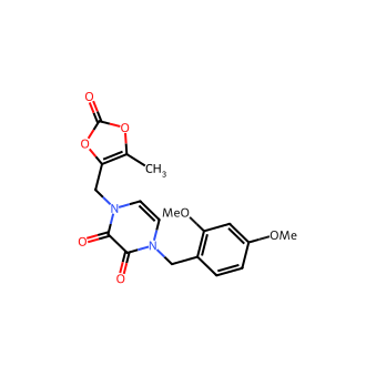 COc1ccc(Cn2ccn(Cc3oc(=O)oc3C)c(=O)c2=O)c(OC)c1